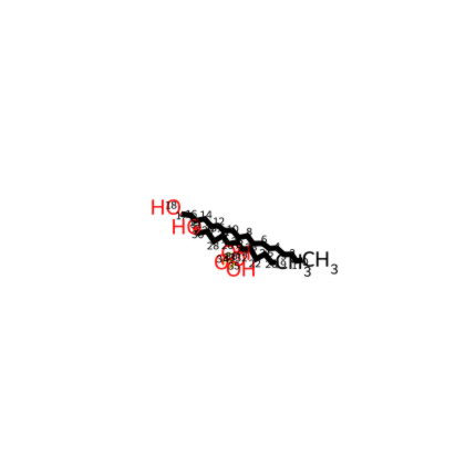 CCCCCCCCCCCCCCCCCCO.CCCCCCCCCCCCO.O=S(=O)(O)O